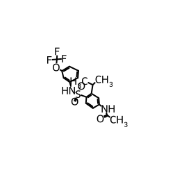 CC(=O)Nc1ccc(S(=O)(=O)Nc2cccc(OC(F)(F)F)c2)c(C(C)C)c1